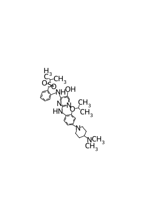 CC(C)Oc1cc(N2CCC(N(C)C)CC2)ccc1Nc1ncc(O)c(Nc2ccccc2S(=O)(=O)C(C)C)n1